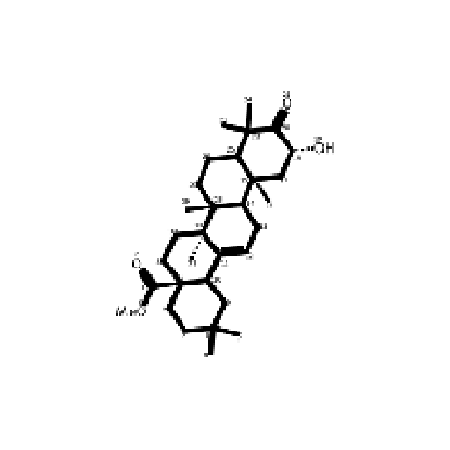 COC(=O)[C@]12CCC(C)(C)CC1C1=CCC3[C@@]4(C)C[C@@H](O)C(=O)C(C)(C)C4CC[C@@]3(C)[C@]1(C)CC2